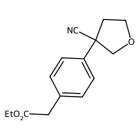 CCOC(=O)Cc1ccc(C2(C#N)CCOC2)cc1